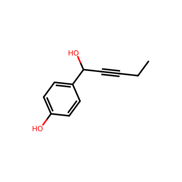 CCC#CC(O)c1ccc(O)cc1